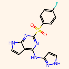 O=S(=O)(c1ccc(F)cc1)c1nc(Nc2cc[nH]n2)c2cc[nH]c2n1